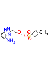 Cc1ccc(S(=O)(=O)OCCOCCc2nnc3cccc(N)c3n2)cc1